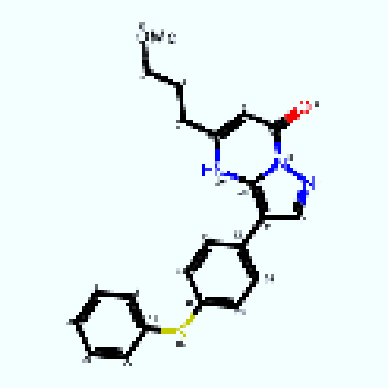 COCCCc1cc(=O)n2ncc(-c3ccc(Sc4ccccc4)cc3)c2[nH]1